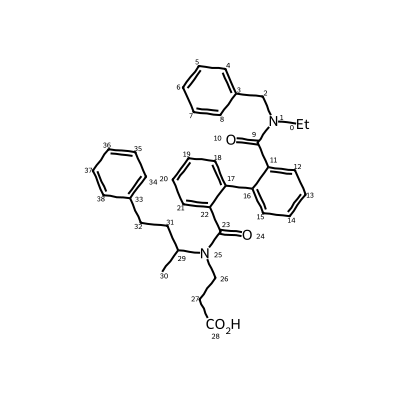 CCN(Cc1ccccc1)C(=O)c1ccccc1-c1ccccc1C(=O)N(CCC(=O)O)C(C)CCc1ccccc1